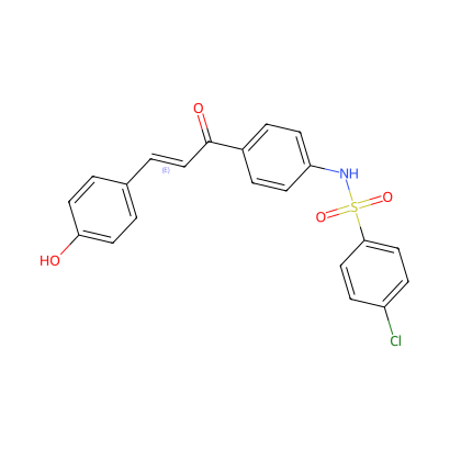 O=C(/C=C/c1ccc(O)cc1)c1ccc(NS(=O)(=O)c2ccc(Cl)cc2)cc1